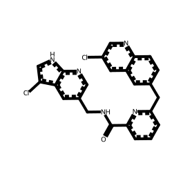 O=C(NCc1cnc2[nH]cc(Cl)c2c1)c1cccc(Cc2ccc3ncc(Cl)cc3c2)n1